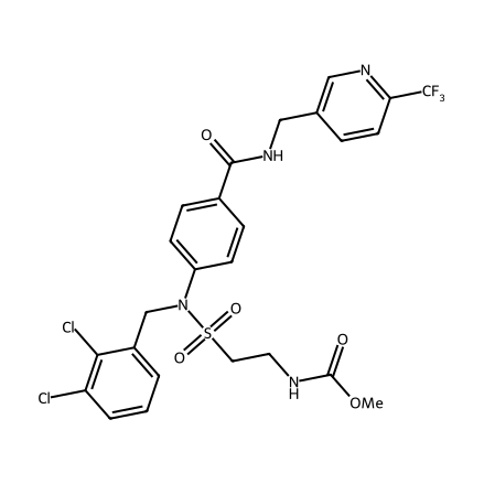 COC(=O)NCCS(=O)(=O)N(Cc1cccc(Cl)c1Cl)c1ccc(C(=O)NCc2ccc(C(F)(F)F)nc2)cc1